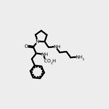 NCCCNCC1CCCN1C(=O)C(Cc1ccccc1)NC(=O)O